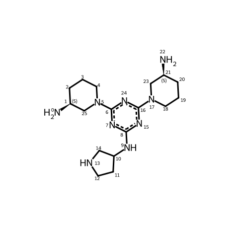 N[C@H]1CCCN(c2nc(NC3CCNC3)nc(N3CCC[C@H](N)C3)n2)C1